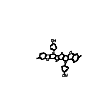 Cc1ccc2c(c1)oc1c3sc4c(sc5c6oc7cc(C)ccc7c6n(-c6ccc(O)cc6)c54)c3n(-c3ccc(O)cc3)c21